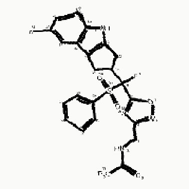 O=C(NCc1noc(C(F)(C2Cc3[nH]c4ccc(Cl)cc4c3C2)S(=O)(=O)c2ccccc2)n1)C(F)(F)F